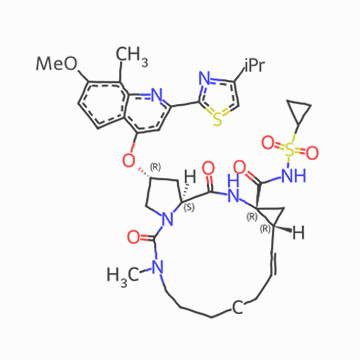 COc1ccc2c(O[C@@H]3C[C@H]4C(=O)N[C@]5(C(=O)NS(=O)(=O)C6CC6)C[C@@H]5C=CCCCCCN(C)C(=O)N4C3)cc(-c3nc(C(C)C)cs3)nc2c1C